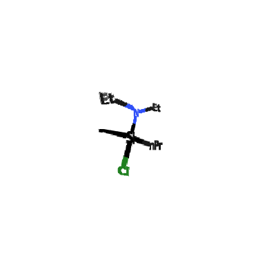 CCC[Si](C)(Cl)N(CC)CC